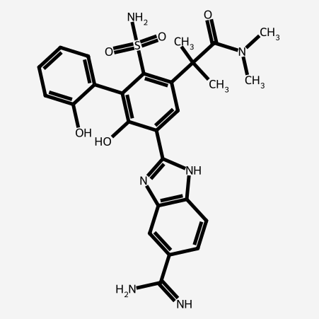 CN(C)C(=O)C(C)(C)c1cc(-c2nc3cc(C(=N)N)ccc3[nH]2)c(O)c(-c2ccccc2O)c1S(N)(=O)=O